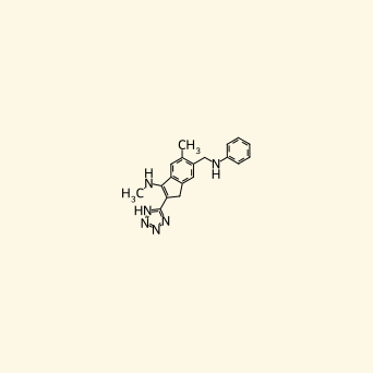 CNC1=C(c2nnn[nH]2)Cc2cc(CNc3ccccc3)c(C)cc21